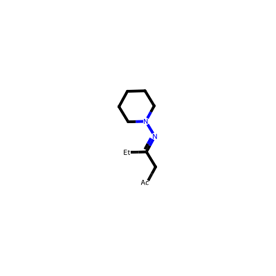 CC/C(CC(C)=O)=N\N1CCCCC1